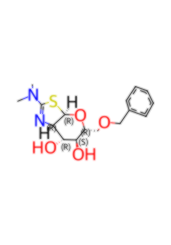 CN(C)C1=N[C@@H]2[C@@H](O)[C@H](O)[C@@H](COCc3ccccc3)O[C@@H]2S1